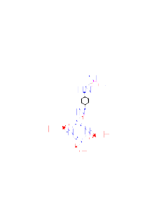 NC(=O)CNCc1ccc(CNC(=O)CN2CCN(CC(=O)O)CCN(CC(=O)O)CCN(CC(=O)O)CC2)cc1